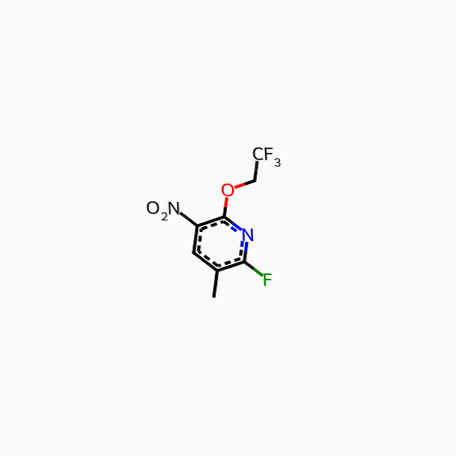 Cc1cc([N+](=O)[O-])c(OCC(F)(F)F)nc1F